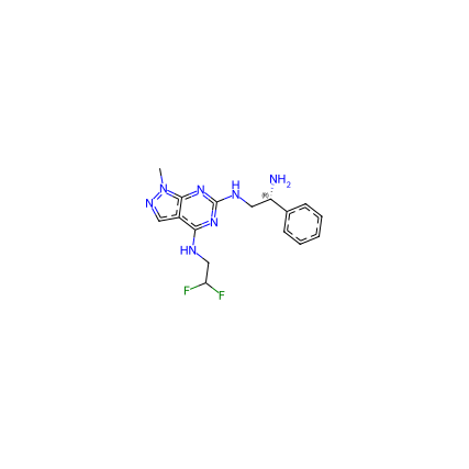 Cn1ncc2c(NCC(F)F)nc(NC[C@H](N)c3ccccc3)nc21